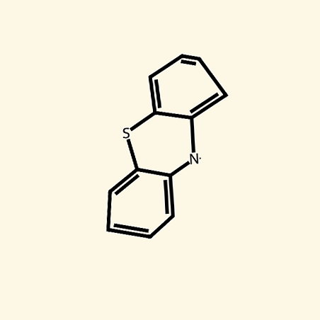 c1ccc2c(c1)[N]c1ccccc1S2